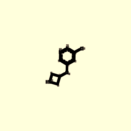 Clc1cc(OC2CNC2)cnn1